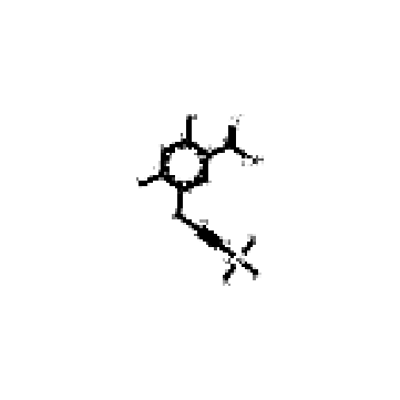 Cc1cc(C)c(C(=O)O)cc1CC#C[Si](C)(C)C